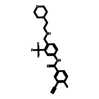 C#Cc1cc(C(=O)Nc2ccc(CNCCN3CCOCC3)c(C(F)(F)F)c2)ccc1C